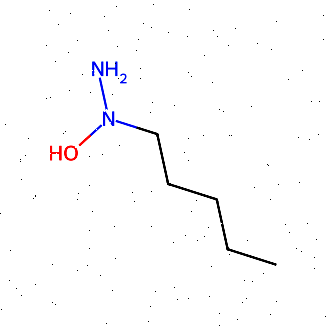 CCCCCN(N)O